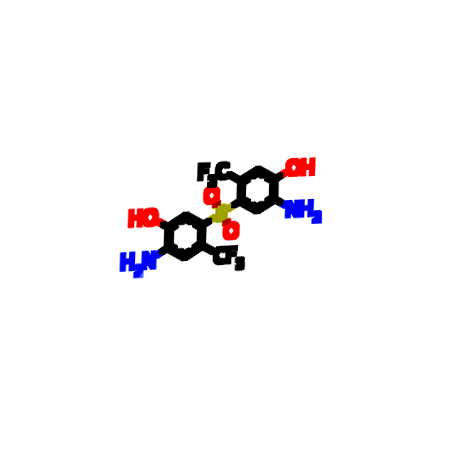 Nc1cc(S(=O)(=O)c2cc(O)c(N)cc2C(F)(F)F)c(C(F)(F)F)cc1O